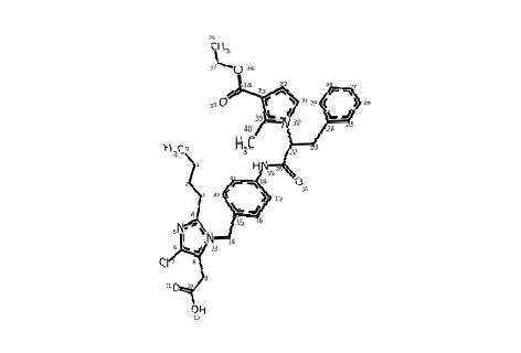 CCCCc1nc(Cl)c(CC(=O)O)n1Cc1ccc(NC(=O)C(Cc2ccccc2)n2ccc(C(=O)OCC)c2C)cc1